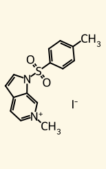 Cc1ccc(S(=O)(=O)n2ccc3cc[n+](C)cc32)cc1.[I-]